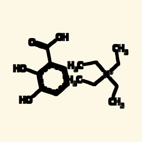 CC[N+](CC)(CC)CC.O=C(O)c1cccc(O)c1O